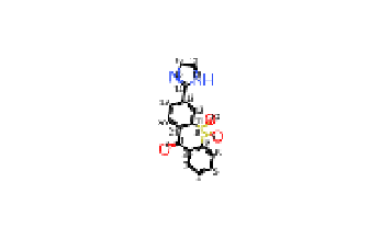 O=C1c2ccccc2S(=O)(=O)c2cc(C3=NCCN3)ccc21